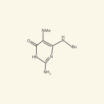 CCC(C)Nc1nc(N)[nH]c(=O)c1NC